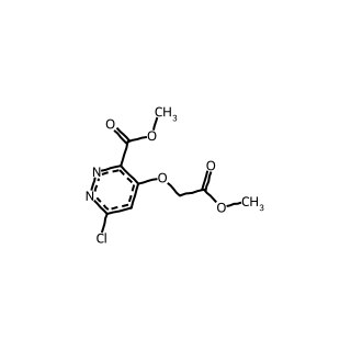 COC(=O)COc1cc(Cl)nnc1C(=O)OC